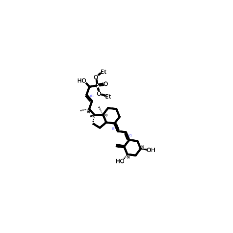 C=C1/C(=C\C=C2/CCC[C@@]3(C)C2CC[C@@H]3[C@H](C)/C=C/C(O)P(=O)(OCC)OCC)C[C@@H](O)C[C@@H]1O